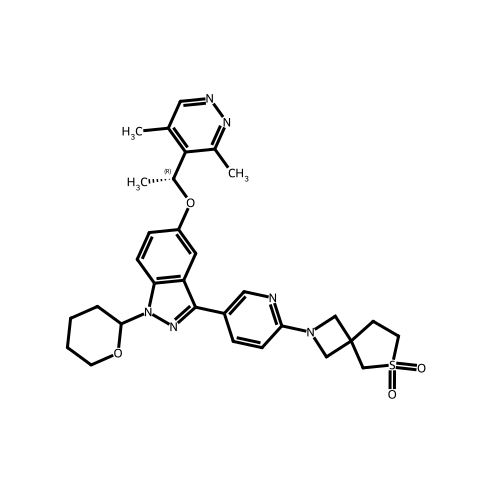 Cc1cnnc(C)c1[C@@H](C)Oc1ccc2c(c1)c(-c1ccc(N3CC4(CCS(=O)(=O)C4)C3)nc1)nn2C1CCCCO1